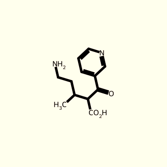 CC(CCN)C(C(=O)O)C(=O)c1cccnc1